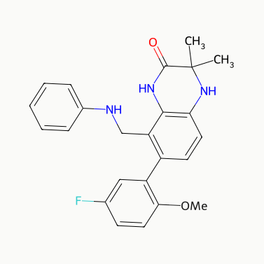 COc1ccc(F)cc1-c1ccc2c(c1CNc1ccccc1)NC(=O)C(C)(C)N2